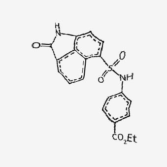 CCOC(=O)c1ccc(NS(=O)(=O)c2ccc3c4c(cccc24)C(=O)N3)cc1